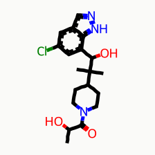 CC(O)C(=O)N1CCC(C(C)(C)C(O)c2cc(Cl)cc3cn[nH]c23)CC1